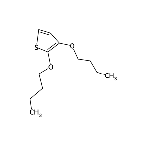 CCCCOc1ccsc1OCCCC